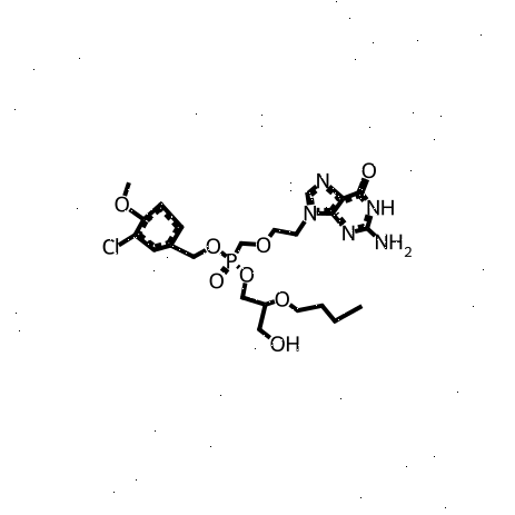 CCCCOC(CO)COP(=O)(COCCn1cnc2c(=O)[nH]c(N)nc21)OCc1ccc(OC)c(Cl)c1